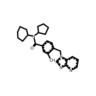 Cc1cc(C(=O)N(C2CCCCC2)C2CCCC2)ccc1Cn1cnc2ncccc21